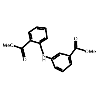 COC(=O)c1cccc(Nc2ccccc2C(=O)OC)c1